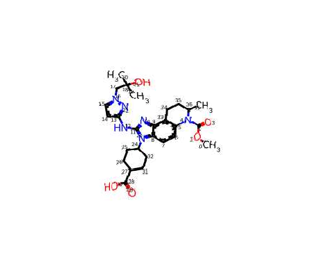 COC(=O)N1c2ccc3c(nc(Nc4ccn(CC(C)(C)O)n4)n3C3CCC(C(=O)O)CC3)c2CCC1C